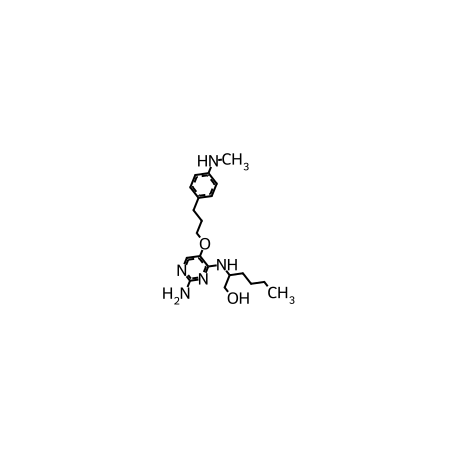 CCCCC(CO)Nc1nc(N)ncc1OCCCc1ccc(NC)cc1